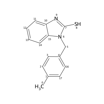 Cc1ccc(Cn2c(S)nc3ccccc32)cc1